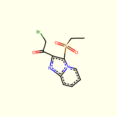 CCS(=O)(=O)c1c(C(=O)CBr)nc2ccccn12